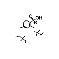 CCC(C)(C)CC.CCC(C)(C)CCc1cc(C)ccc1S(=O)(=O)O